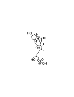 C[C@H](CCCC(CO)COS(=O)(=O)O)[C@H]1CC[C@H]2[C@@H]3[C@H](O)C[C@H]4C[C@H](O)CC[C@]4(C)[C@H]3C[C@H](O)[C@]12C